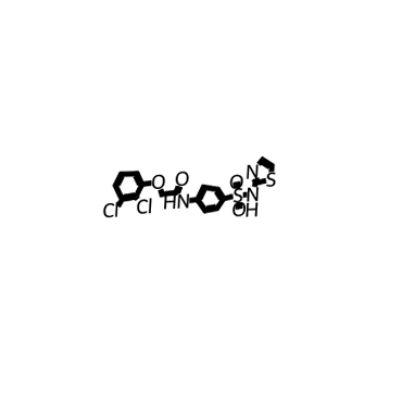 O=C(COc1cccc(Cl)c1Cl)Nc1ccc(S(=O)(=O)Nc2nccs2)cc1